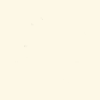 COC(=O)CCCOc1ccc(-c2sc3ccccc3c2Cc2ccc(CN3CCN(C(C)=O)C3)c(OC)c2)cc1.O=C(O)C(=O)O